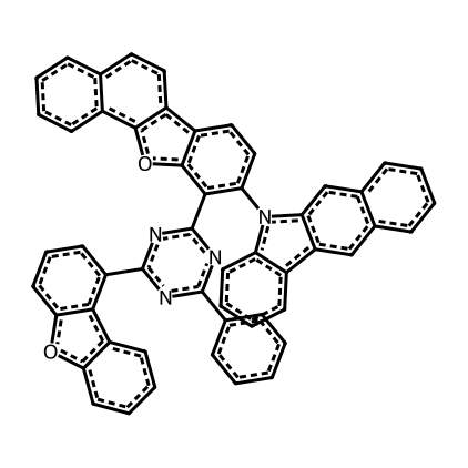 c1ccc(-c2nc(-c3c(-n4c5ccccc5c5cc6ccccc6cc54)ccc4c3oc3c5ccccc5ccc43)nc(-c3cccc4oc5ccccc5c34)n2)cc1